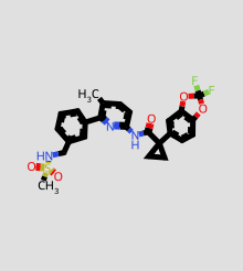 Cc1ccc(NC(=O)C2(c3ccc4c(c3)OC(F)(F)O4)CC2)nc1-c1cccc(CNS(C)(=O)=O)c1